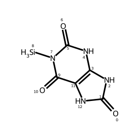 O=c1[nH]c2[nH]c(=O)n([SiH3])c(=O)c2[nH]1